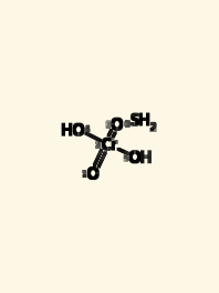 S.[O]=[Cr](=[O])([OH])[OH]